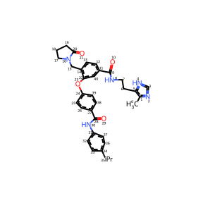 Cc1nc[nH]c1CCNC(=O)c1ccc(CN2CCCC2=O)c(Oc2ccc(C(=O)Nc3ccc(C(C)C)cc3)cc2)c1